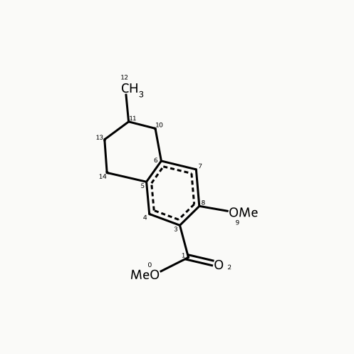 COC(=O)c1cc2c(cc1OC)CC(C)CC2